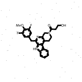 COc1c(F)cc(Cc2nc3c(c4c2[nH]c2ccccc24)CCN(C(=O)CCO)C3)cc1F